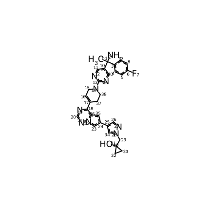 CC(N)(c1ccc(F)cc1)c1cnc(N2CC=C(c3ncnn4cc(-c5cnn(CC6(O)CC6)c5)cc34)CC2)nc1